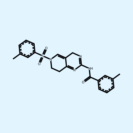 Cc1cccc(C(=O)NC2=NCC3=CN(S(=O)(=O)c4cccc(C)c4)CCC3=N2)c1